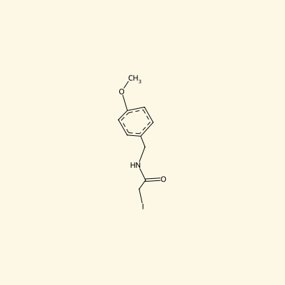 COc1ccc(CNC(=O)CI)cc1